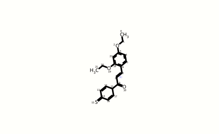 CCOc1ccc(/C=C/C(=O)C2C=CC(=S)C=C2)c(OCC)c1